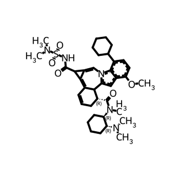 COc1ccc(C2CCCCC2)c2c1cc1n2C=C2C(=C3C=CC[C@@H](C(=O)N(C)[C@@H]4CCCC[C@H]4N(C)C)C31)C2C(=O)NS(=O)(=O)N(C)C